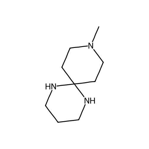 CN1CCC2(CC1)NCCCN2